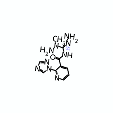 CN(N)/C(=N\N)NC(=O)c1cccnc1-n1cncn1